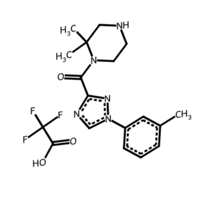 Cc1cccc(-n2cnc(C(=O)N3CCNCC3(C)C)n2)c1.O=C(O)C(F)(F)F